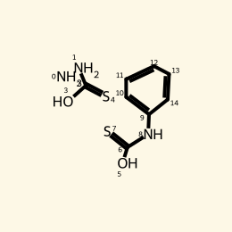 N.NC(O)=S.OC(=S)Nc1ccccc1